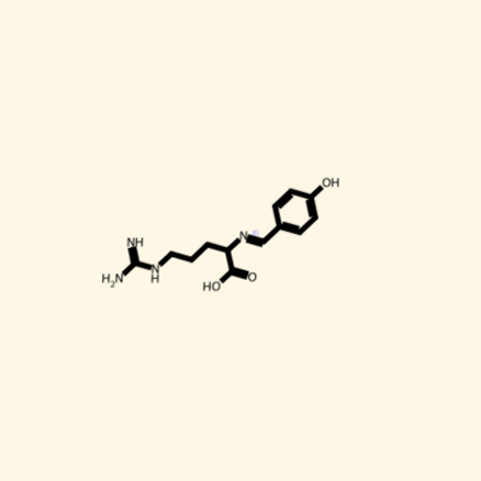 N=C(N)NCCCC(/N=C/c1ccc(O)cc1)C(=O)O